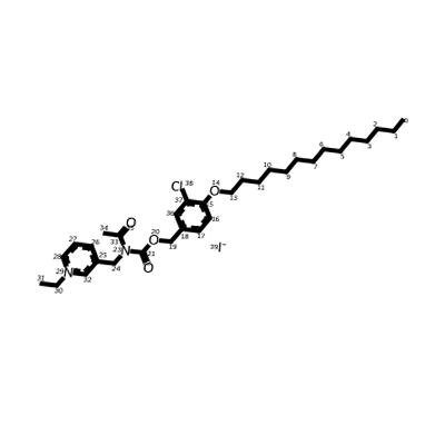 CCCCCCCCCCCCCCOc1ccc(COC(=O)N(Cc2ccc[n+](CC)c2)C(C)=O)cc1Cl.[I-]